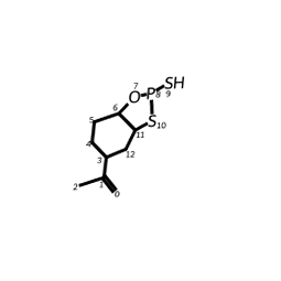 C=C(C)C1CCC2OP(S)SC2C1